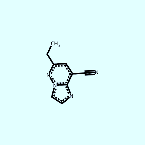 CCc1cc(C#N)c2nccn2n1